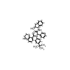 CC(C)(C)c1ccc(N(C(=O)c2cccc3c2OCCN3)C(C(=O)N[C@H]2c3ccccc3C[C@@H]2O)c2cccnc2)cc1